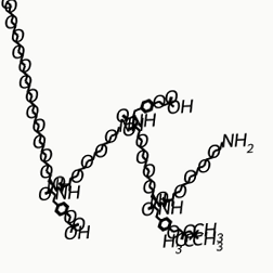 COCCOCCOCCOCCOCCOCCOCCOCCOCCOCCOCCOCCNC(=O)C(Cc1ccc(OCC(=O)O)cc1)NC(=O)CCOCCOCCOCCOCCNC(=O)C(Cc1ccc(OCC(=O)O)cc1)NC(=O)CCOCCOCCOCCOCCNC(=O)C(Cc1ccc(OCC(=O)OC(C)(C)C)cc1)NC(=O)CCOCCOCCOCCOCCN